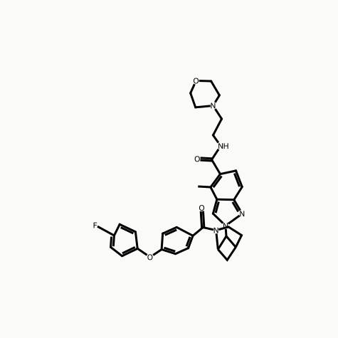 Cc1c(C(=O)NCCN2CCOCC2)ccc2nn(C3C4CCN(C(=O)c5ccc(Oc6ccc(F)cc6)cc5)C3C4)cc12